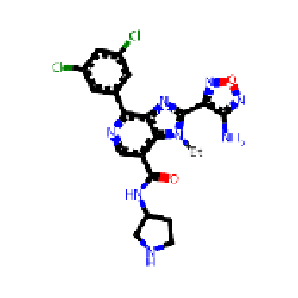 CCn1c(-c2nonc2N)nc2c(-c3cc(Cl)cc(Cl)c3)ncc(C(=O)NC3CCNC3)c21